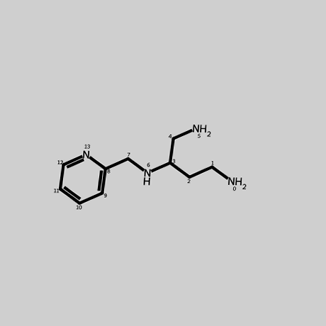 NCCC(CN)NCc1ccccn1